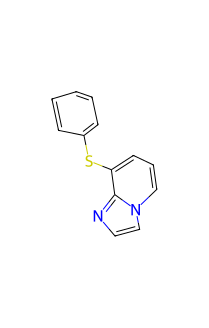 c1ccc(Sc2cccn3ccnc23)cc1